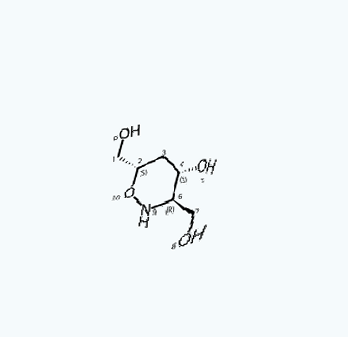 OC[C@@H]1C[C@H](O)[C@@H](CO)NO1